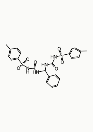 Cc1ccc(S(=O)(=O)NC(=O)NC(NC(=O)NS(=O)(=O)c2ccc(C)cc2)c2ccccc2)cc1